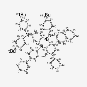 Cc1cc(-c2ccccc2)ccc1N1c2cc(N(c3ccc(C(C)(C)C)cc3)c3ccc(C(C)(C)C)cc3)ccc2B2c3c(cc(-c4ccccc4)cc31)-c1cc3ccccc3cc1N2c1ccc(C(C)(C)C)cc1